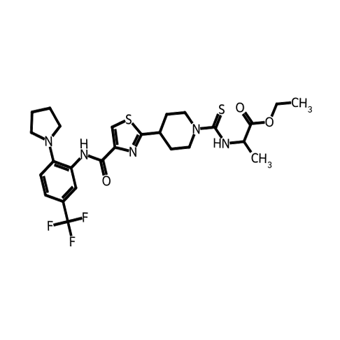 CCOC(=O)C(C)NC(=S)N1CCC(c2nc(C(=O)Nc3cc(C(F)(F)F)ccc3N3CCCC3)cs2)CC1